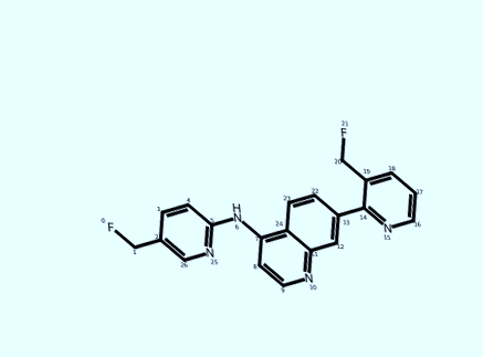 FCc1ccc(Nc2ccnc3cc(-c4ncccc4CF)ccc23)nc1